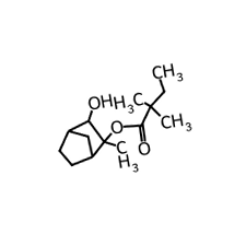 CCC(C)(C)C(=O)OC1(C)C2CCC(C2)C1O